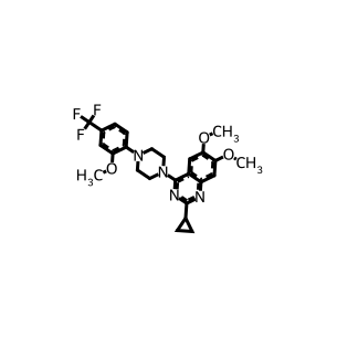 COc1cc2nc(C3CC3)nc(N3CCN(c4ccc(C(F)(F)F)cc4OC)CC3)c2cc1OC